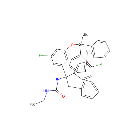 CC(C)(C)[Si](Oc1cc(F)cc(C(Cc2ccccc2)(NC(=O)NCC(F)(F)F)c2ccc(F)c(C(F)(F)F)c2)c1)(c1ccccc1)c1ccccc1